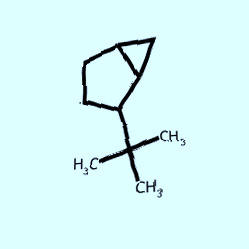 CC(C)(C)C1[CH]CC2CC21